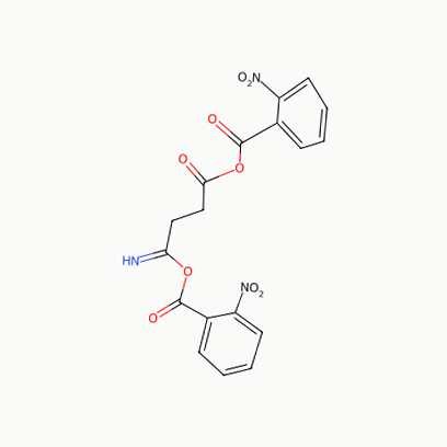 N=C(CCC(=O)OC(=O)c1ccccc1[N+](=O)[O-])OC(=O)c1ccccc1[N+](=O)[O-]